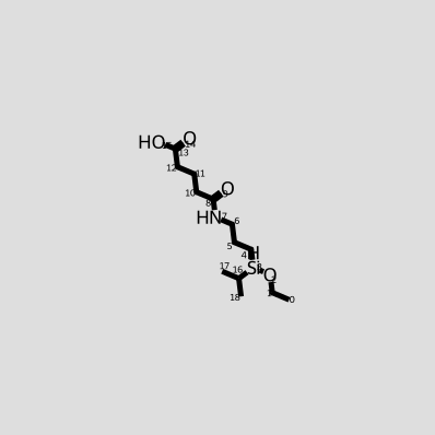 CCO[SiH](CCCNC(=O)CCCC(=O)O)C(C)C